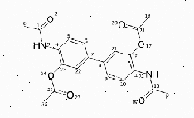 CC(=O)Nc1ccc(-c2ccc(NC(C)=O)c(OC(C)=O)c2)cc1OC(C)=O